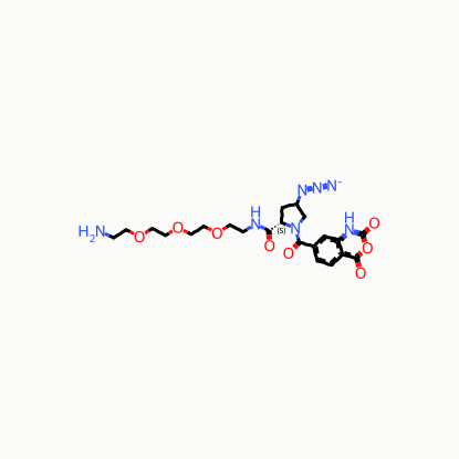 [N-]=[N+]=NC1C[C@@H](C(=O)NCCOCCOCCOCCN)N(C(=O)c2ccc3c(=O)oc(=O)[nH]c3c2)C1